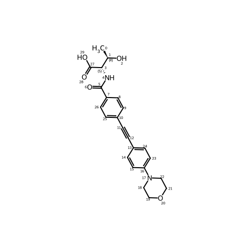 C[C@@H](O)[C@H](NC(=O)c1ccc(C#Cc2ccc(N3CCOCC3)cc2)cc1)C(=O)O